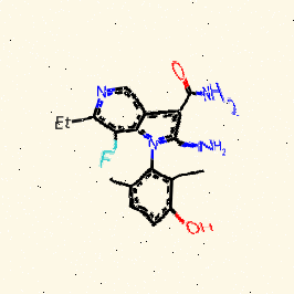 CCc1ncc2c(C(N)=O)c(N)n(-c3c(C)ccc(O)c3C)c2c1F